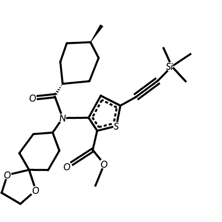 COC(=O)c1sc(C#C[Si](C)(C)C)cc1N(C(=O)[C@H]1CC[C@H](C)CC1)C1CCC2(CC1)OCCO2